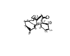 O=c1cc2sc3ccccc3n2c2ccccc12